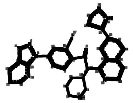 O=C(c1ccc(-n2nnc3cccnc32)cc1F)N(c1nccc2ccc(-c3ccn[nH]3)cc12)[C@@H]1CCCNC1